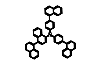 c1ccc2c(-c3ccc(N(c4ccc(-c5cccc6ccccc56)cc4)c4ccc(-c5cccc6ccccc56)c5ccccc45)cc3)cccc2c1